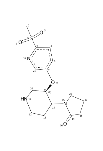 CS(=O)(=O)c1ccc(O[C@@H]2CNCCC2N2CCCC2=O)cn1